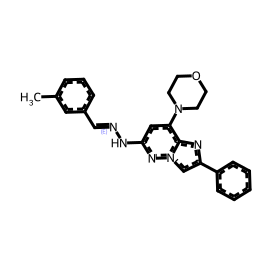 Cc1cccc(/C=N/Nc2cc(N3CCOCC3)c3nc(-c4ccccc4)cn3n2)c1